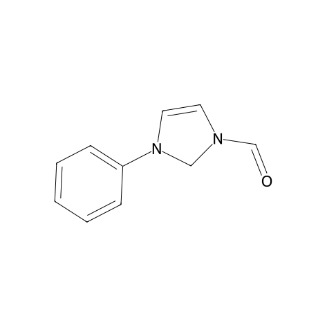 O=CN1C=CN(c2ccccc2)C1